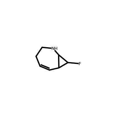 FC1C2C=CCCNC12